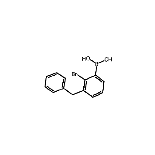 OB(O)c1cccc(Cc2ccccc2)c1Br